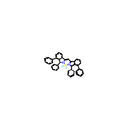 FS1(F)N2C(=Cc3c4cccc(-c5c#cccc5)c4c(C4C=CC=CC4)n31)c1cccc(-c3ccccc3)c1C2c1ccccc1